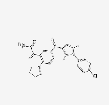 C=C(C(N)=O)c1cc(C(=O)c2cc(C)n(-c3ccc(Cl)cc3)c2C)ccc1N1CCCC1